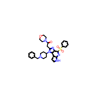 O=C(Cc1nc2c(S(=O)(=O)c3ccccc3)nc3[nH]ccc3c2n1C1CCN(Cc2ccccc2)CC1)N1CCOCC1